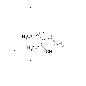 CCO.CSCCN